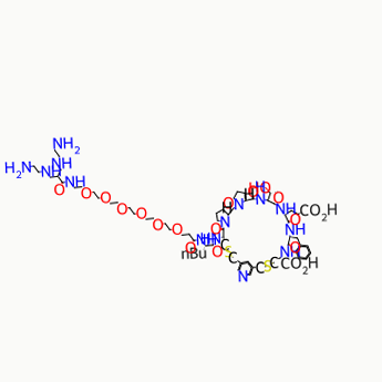 CCCC[C@H](NC(=O)CCOCCOCCOCCOCCOCCOCCNC(=O)C(CNCCN)CNCCN)C(=O)N[C@H]1CSCc2cncc(c2)CSCC(C(=O)O)NC(=O)[C@H](Cc2ccccc2)NC(=O)[C@H](CCC(=O)O)NC(=O)[C@H]([C@@H](C)O)NC(=O)[C@@H]2CCCN2C(=O)[C@@H]2CCCN2C1=O